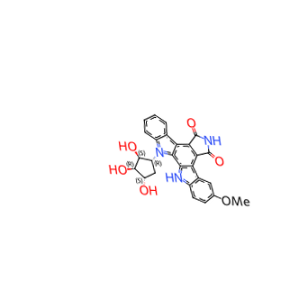 COc1ccc2[nH]c3c(c4c(c5c6ccccc6n([C@@H]6C[C@H](O)[C@@H](O)[C@H]6O)c35)C(=O)NC4=O)c2c1